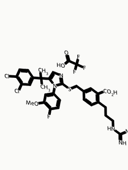 COc1cc(-n2c(C(C)(C)c3ccc(Cl)c(Cl)c3)cnc2SCc2ccc(CCCNC(=N)N)c(C(=O)O)c2)ccc1F.O=C(O)C(F)(F)F